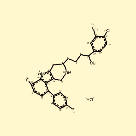 Cl.OC(CCCC1Cc2[nH]c3c(F)ccc(-c4ccc(F)cc4)c3c2CN1)c1ccc(Cl)c(C(F)(F)F)c1